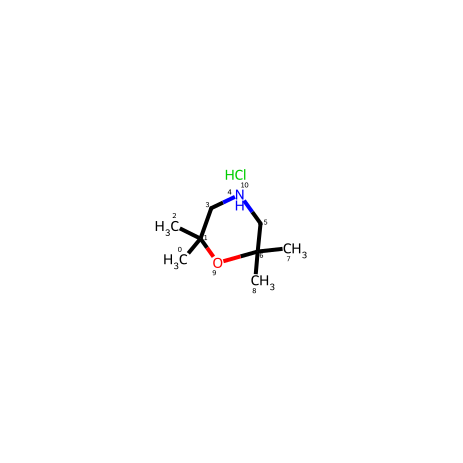 CC1(C)CNCC(C)(C)O1.Cl